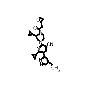 C=Cc1cnnc(-c2cc(C#N)c(N3CCN(C(=O)CC4CCO4)C(C4CC4)C3)nc2C2CC2)c1